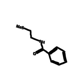 CSCCNC(=O)c1c[c]ccc1